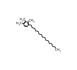 CCCCCCCCCCCCCCCCc1ccc(C)c(C)c1C